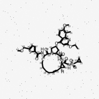 CCOc1cc(O[C@@H]2C[C@H]3C(=O)N[C@]4(C(=O)NS(=O)(=O)C5CC5)C[C@H]4/C=C\CCCCC[C@H](NC(=O)c4ccc(COC)s4)C(=O)N3C2)c2ccc(OC)c(C)c2n1